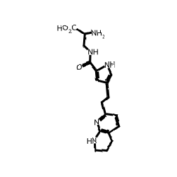 NC(CNC(=O)c1cc(CCc2ccc3c(n2)NCCC3)c[nH]1)C(=O)O